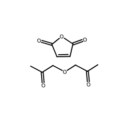 CC(=O)COCC(C)=O.O=C1C=CC(=O)O1